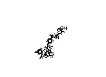 CCN(C(=O)Cn1c(C(=O)NCC2CCC(C(=O)NCCCCC(C)C(=O)O)CC2)cc2sccc21)c1cccc(C)c1